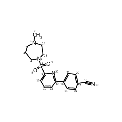 CN1CCCN(S(=O)(=O)c2cccc(-c3ccc(C#N)cc3)n2)CC1